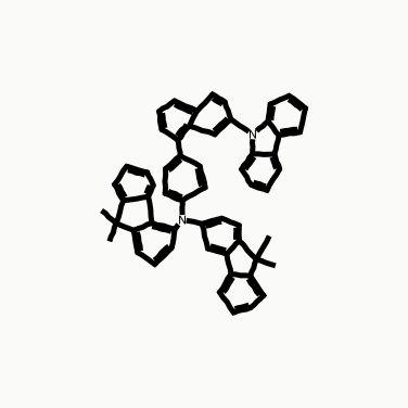 CC1(C)c2ccccc2-c2cc(N(c3ccc(-c4cccc5ccc(-n6c7ccccc7c7ccccc76)cc45)cc3)c3cccc4c3-c3ccccc3C4(C)C)ccc21